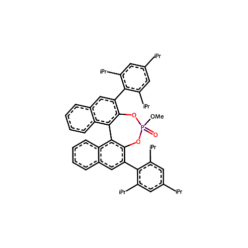 COP1(=O)Oc2c(-c3c(C(C)C)cc(C(C)C)cc3C(C)C)cc3ccccc3c2-c2c(c(-c3c(C(C)C)cc(C(C)C)cc3C(C)C)cc3ccccc23)O1